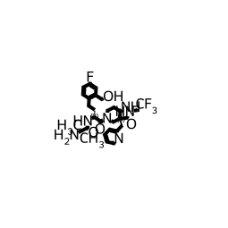 CC(C)(N)C(=O)N[C@H](CCc1ccc(F)cc1CO)C(=O)N1CCC(=N)[C@](Cc2ccccn2)(C(=O)NCC(F)(F)F)C1